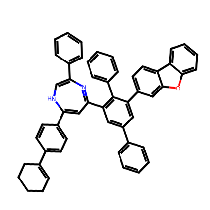 C1=C(c2ccc(C3=CC(c4cc(-c5ccccc5)cc(-c5ccc6c(c5)oc5ccccc56)c4-c4ccccc4)=NC(c4ccccc4)=CN3)cc2)CCCC1